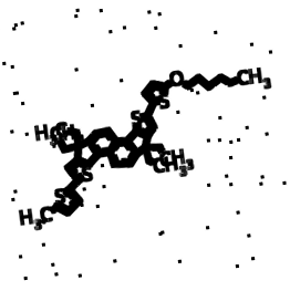 CCCCCCOc1ccc(-c2cc3c(s2)-c2c(ccc4c5c(ccc24)C(CC)(CC)c2cc(-c4ccc(C)s4)sc2-5)C3(CC)CC)s1